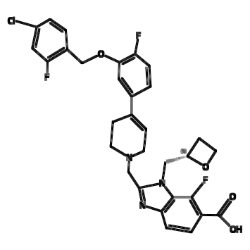 O=C(O)c1ccc2nc(CN3CC=C(c4ccc(F)c(OCc5ccc(Cl)cc5F)c4)CC3)n(C[C@@H]3CCO3)c2c1F